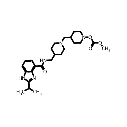 COC(=O)ON1CCC(CN2CCC(CNC(=O)c3cccc4[nH]c(C(C)C)nc34)CC2)CC1